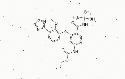 BC(B)(B)NC(=O)c1cnc(NC(=O)OCC)cc1Nc1cccc(-c2ncn(C)n2)c1OC